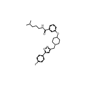 CN(C)CCCNC(=O)c1cccc(OC2CCN(Cc3cc(-c4ccc(F)cc4)on3)CC2)c1